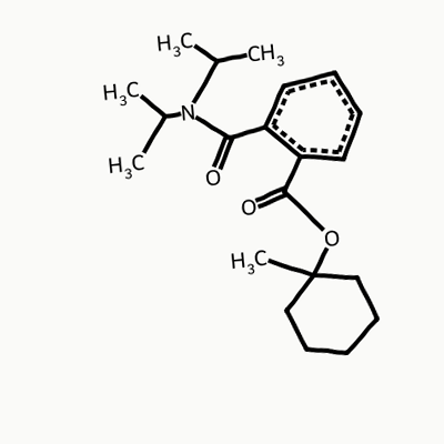 CC(C)N(C(=O)c1ccccc1C(=O)OC1(C)CCCCC1)C(C)C